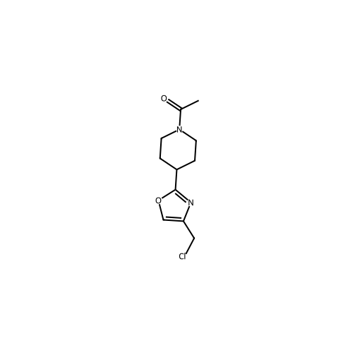 CC(=O)N1CCC(c2nc(CCl)co2)CC1